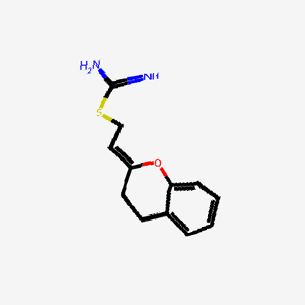 N=C(N)SCC=C1CCc2ccccc2O1